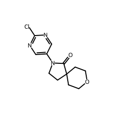 O=C1N(c2cnc(Cl)nc2)CCC12CCOCC2